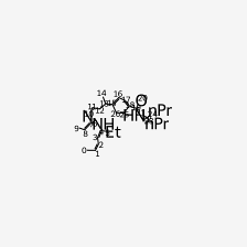 C/C=C\C=C(/CC)NC(=C/C)/N=C\CC(C)C1=CC=C(C(=O)NC(CCC)CCC)CC1